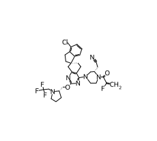 C=C(F)C(=O)N1CCN(c2nc(OC[C@@H]3CCCN3CC(F)(F)F)nc3c2CC[C@@]2(CCc4c(Cl)cccc42)C3)C[C@@H]1CC#N